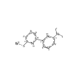 CN(C)c1cccc(-c2cccc(CBr)n2)n1